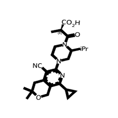 CC(C)C1CN(c2nc(C3CC3)c3c(c2C#N)CC(C)(C)OC3)CCN1C(=O)[C@@H](C)C(=O)O